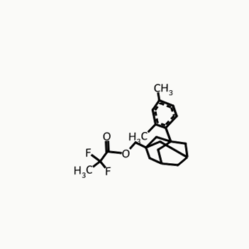 Cc1ccc(C23CC4CC(CC(COC(=O)C(C)(F)F)(C4)C2)C3)c(C)c1